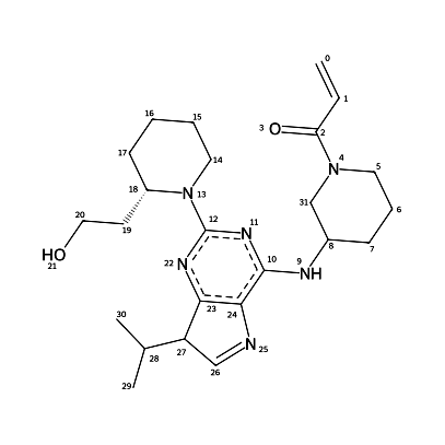 C=CC(=O)N1CCCC(Nc2nc(N3CCCC[C@H]3CCO)nc3c2N=CC3C(C)C)C1